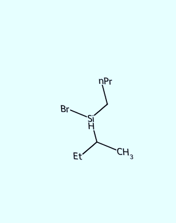 CCCC[SiH](Br)C(C)CC